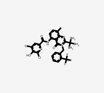 BC(B)(B)c1nc2c(C)ccc(NC(=O)c3cc(Cl)c(O)c(Cl)n3)c2c(=O)n1Cc1ccccc1C(F)(F)F